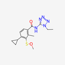 CCn1nnnc1NC(=O)c1ccc(C2CC2)c(SOC)c1C